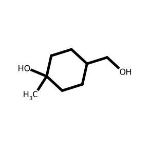 CC1(O)CCC(CO)CC1